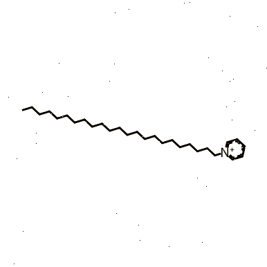 CCCCCCCCCCCCCCCCCCCCCCC[n+]1ccccc1